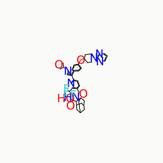 O=C(NC1(C(=O)O)C2CC3CC(C2)CC1C3)c1ccc(-c2cn(C3COC3)c3cc(OC4CCN(c5ncccn5)CC4)ccc23)nc1C(F)(F)F